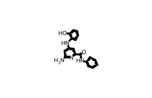 Nc1cc(Nc2ccccc2O)cc(C(=O)Nc2ccccc2)n1